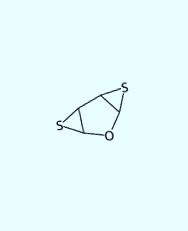 O1C2SC2C2SC12